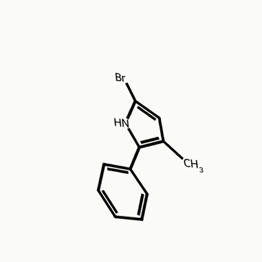 Cc1cc(Br)[nH]c1-c1ccccc1